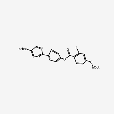 CCCCCCCCOc1ccc(C(=O)Oc2ccc(-c3ncc(CCCCCC)cn3)cc2)c(F)c1